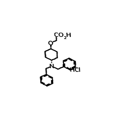 Cl.O=C(O)CO[C@H]1CC[C@H](N(Cc2ccccc2)Cc2ccccc2)CC1